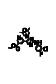 CCOC(=O)c1cncc(-c2cnc(Nc3ccc(F)c(Cl)c3)nc2N2CC(C)OC(C)C2)c1